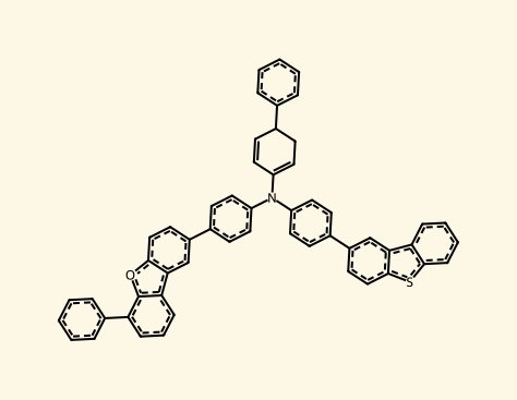 C1=CC(c2ccccc2)CC=C1N(c1ccc(-c2ccc3oc4c(-c5ccccc5)cccc4c3c2)cc1)c1ccc(-c2ccc3sc4ccccc4c3c2)cc1